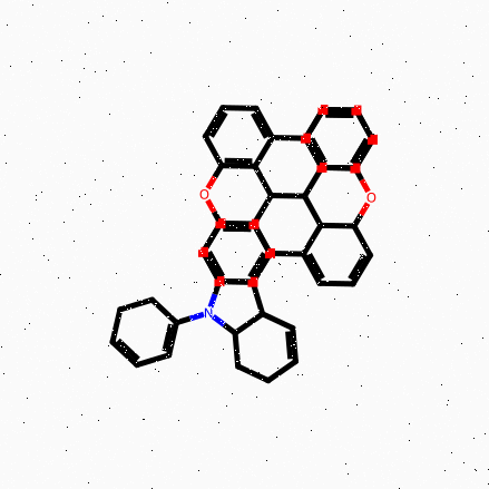 C1=CCCC(N2c3cccc(C4=CC=CC5Oc6ccccc6C(C6C7=C(C=CCC7)Oc7cccc(-c8ccccc8)c76)C45)c3C3C=CCCC32)=C1